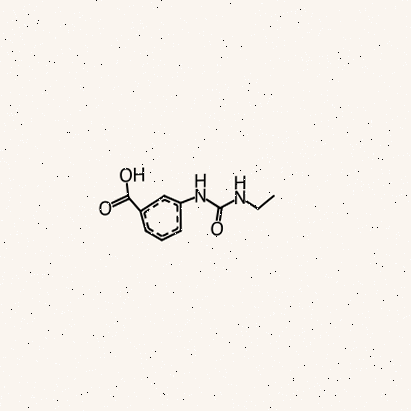 CCNC(=O)Nc1cccc(C(=O)O)c1